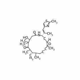 C/C(=C\c1csc(C)n1)[C@@H]1C[C@@H]2O[C@]2(C)CCCC(C)[C@H](C)C(C)C(=O)C(C)(C)C(O)CC(=O)N1